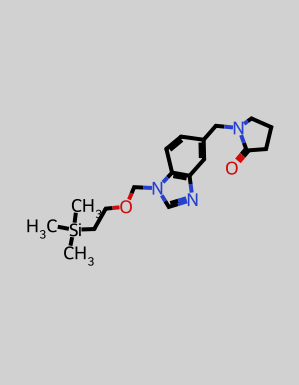 C[Si](C)(C)CCOCn1cnc2cc(CN3CCCC3=O)ccc21